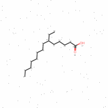 CCCCCCCCC(CC)CCCCC(=O)O